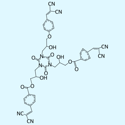 N#CC(C#N)=Cc1ccc(OCC(O)Cn2c(=O)n(CC(O)COC(=O)c3ccc(C=C(C#N)C#N)cc3)c(=O)n(CC(O)COC(=O)c3ccc(C=C(C#N)C#N)cc3)c2=O)cc1